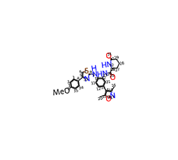 COc1ccc(-c2csc(Nc3ccc(-c4c(C)noc4C)cc3NC(=O)[C@@H]3CCCC(=O)N3)n2)cc1